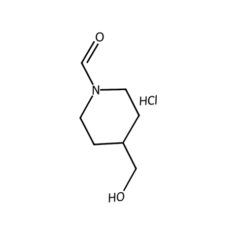 Cl.O=CN1CCC(CO)CC1